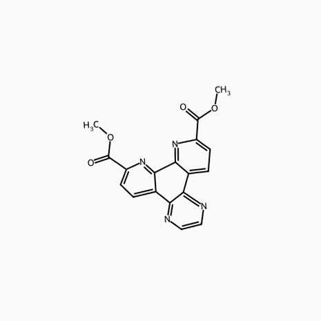 COC(=O)c1ccc2c3nccnc3c3ccc(C(=O)OC)nc3c2n1